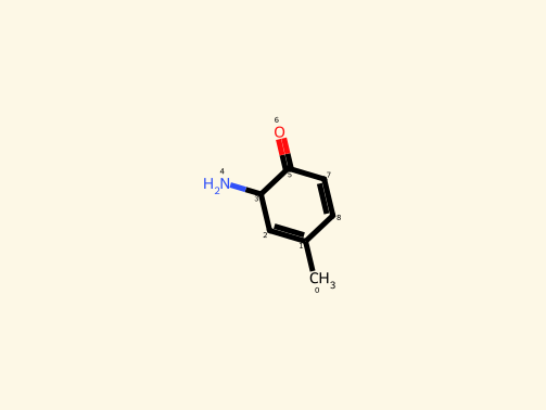 CC1=CC(N)C(=O)C=C1